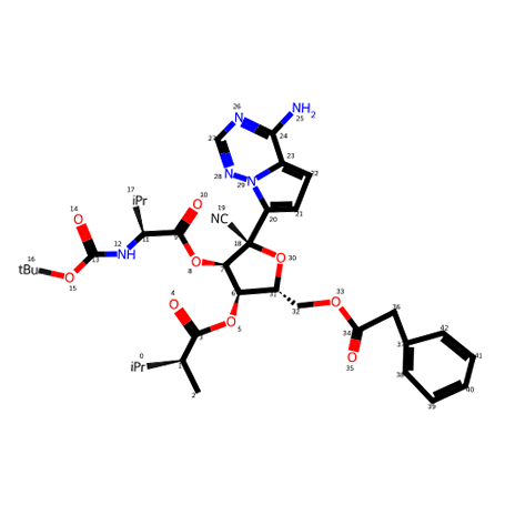 CC(C)[C@H](C)C(=O)O[C@H]1[C@@H](OC(=O)[C@@H](NC(=O)OC(C)(C)C)C(C)C)[C@](C#N)(c2ccc3c(N)ncnn23)O[C@@H]1COC(=O)Cc1ccccc1